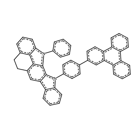 c1ccc(-n2c3cccc4c3c3c(cc5c6ccccc6n(-c6ccc(-c7ccc8c9ccccc9c9ccccc9c8c7)cc6)c5c32)CC4)cc1